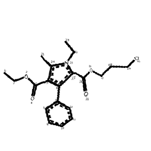 CCOC(=O)c1c(-c2ccccc2)c(C(=O)OCCCCl)n(CC)c1C